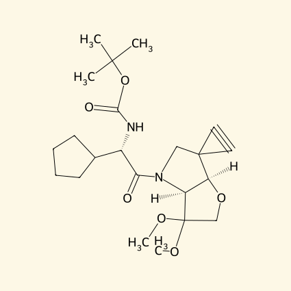 COC1(OC)CO[C@H]2[C@@H]1N(C(=O)[C@@H](NC(=O)OC(C)(C)C)C1CCCC1)CC21C#C1